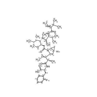 CC[C@H](C)[C@@H]([C@@H](CC(=O)N1[C@H]2C[C@H]2C[C@H]1[C@H](OC)[C@@H](C)C(=O)N[C@@H](Cc1ccccc1F)C(=O)O)OC)N(C)C(=O)[C@@H](NC(=O)[C@@H](NC)C(C)C)C(C)C